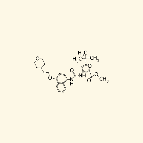 COC(=O)c1oc(C(C)(C)C)cc1NC(=O)Nc1ccc(OCCC2CCOCC2)c2ccccc12